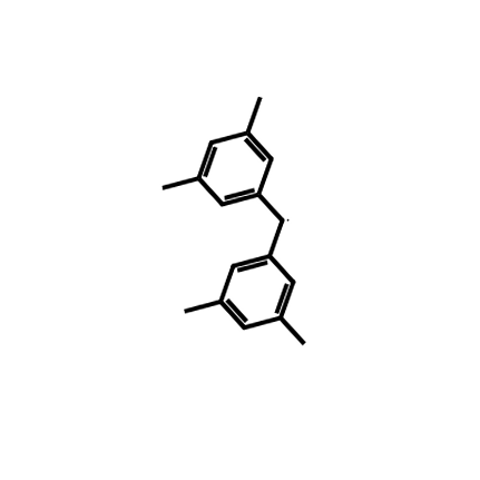 Cc1cc(C)cc([CH]c2cc(C)cc(C)c2)c1